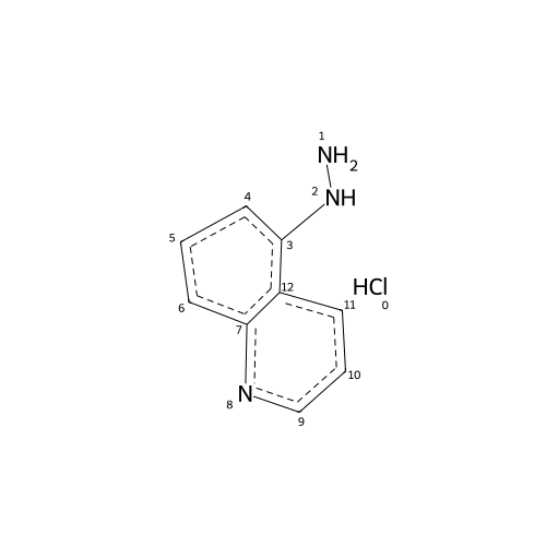 Cl.NNc1cccc2ncccc12